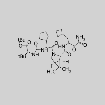 CC(C)(C)OC(=O)[C@@H](NC(=O)N[C@H](C(=O)N1C[C@H]2[C@@H]([C@H]1C(=O)NC(CC1CCC1)C(=O)C(N)=O)C2(C)C)C1CCCC1)C(C)(C)C